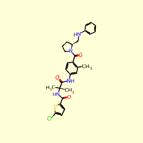 Cc1cc(NC(=O)C(C)(C)NC(=O)c2ccc(Cl)s2)ccc1C(=O)N1CCC[C@H]1CNc1ccccc1